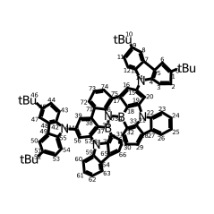 CC(C)(C)c1ccc2c(c1)c1cc(C(C)(C)C)ccc1n2-c1cc2c3c(c1)-n1c4ccccc4c4cccc(c41)B3N1B3c4c(cc(-n5c6ccc(C(C)(C)C)cc6c6cc(C(C)(C)C)ccc65)cc4-n4c5ccccc5c5cccc3c54)-c3cccc-2c31